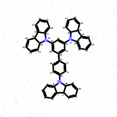 C1=CC2c3ccccc3N(c3ccc(-c4cc(N5c6ccccc6C6C=CC=CC65)cc(N5c6ccccc6C6C=CC=CC65)c4)cc3)C2C=C1